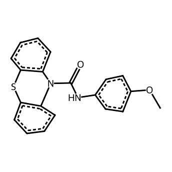 COc1ccc(NC(=O)N2c3ccccc3Sc3ccccc32)cc1